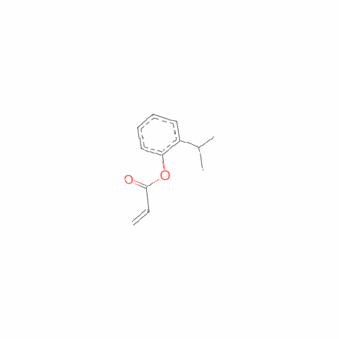 C=CC(=O)Oc1ccccc1C(C)C